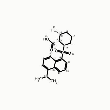 CN(C)c1cccc2c(S(=O)(=O)N3CCC[C@@H](O)[C@H]3C(=O)O)cccc12